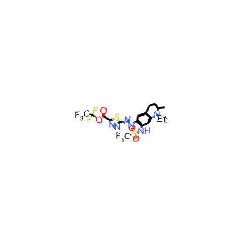 CCN1c2cc(NS(=O)(=O)C(F)(F)F)c(N=Nc3nnc(C(=O)OC(F)(F)C(F)(F)F)s3)cc2CCC1C